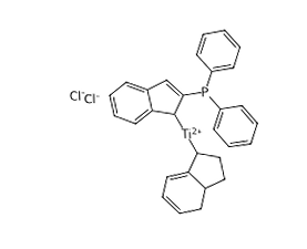 C1=CCC2CC[CH]([Ti+2][CH]3C(P(c4ccccc4)c4ccccc4)=Cc4ccccc43)C2=C1.[Cl-].[Cl-]